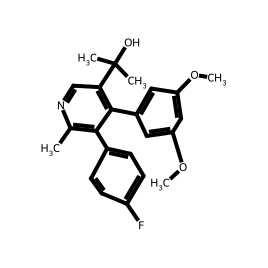 COc1cc(OC)cc(-c2c(C(C)(C)O)cnc(C)c2-c2ccc(F)cc2)c1